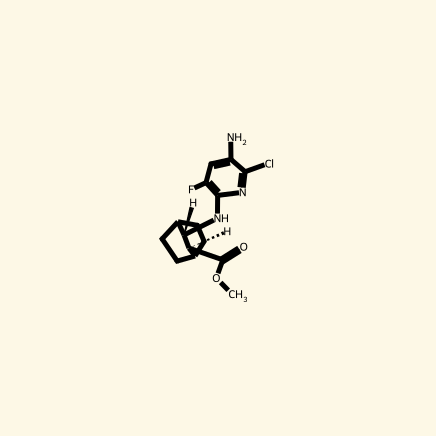 COC(=O)[C@H]1C2CCC(CC2)[C@@H]1Nc1nc(Cl)c(N)cc1F